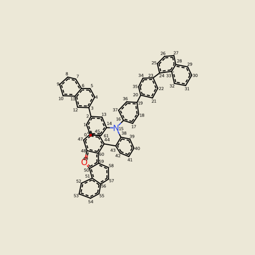 c1cc(-c2ccc3ccccc3c2)cc(N(c2ccc(-c3ccc(-c4cccc5ccccc45)cc3)cc2)c2ccccc2-c2cccc3oc4c5ccccc5ccc4c23)c1